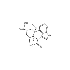 CO[C@]12CC(C(=O)O)CN(C)[C@@H]1C(C(=O)O)c1c[nH]c3cccc2c13